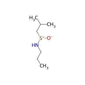 CCCN[S+]([O-])CC(C)C